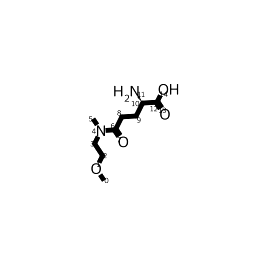 COCCN(C)C(=O)CC[C@H](N)C(=O)O